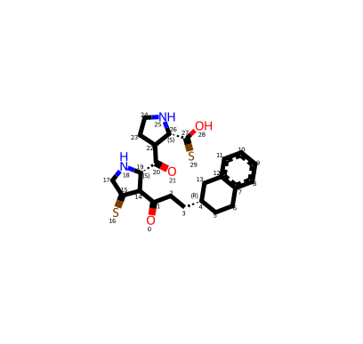 O=C(CC[C@H]1CCc2ccccc2C1)C1C(=S)CN[C@@H]1C(=O)C1CCN[C@@H]1C(O)=S